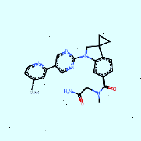 COc1ccnc(-c2cnc(N3CC4(CC4)c4ccc(C(=O)N(C)CC(N)=O)cc43)nc2)c1